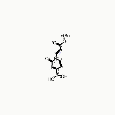 CC(C)(C)OC(=O)/C=C/n1ccc(B(O)O)cc1=O